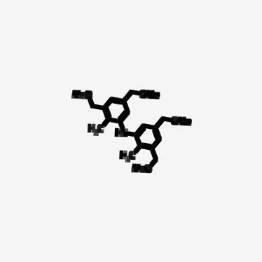 COCc1cc(COC)c(C)c(Nc2cc(COC)cc(COC)c2C)c1